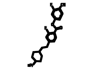 CCCC1CCC(CCc2ccc(C(=O)Oc3ccc(C#N)c(F)c3)c(F)c2)CC1